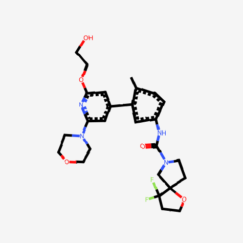 Cc1ccc(NC(=O)N2CCC3(C2)OCCC3(F)F)cc1-c1cc(OCCO)nc(N2CCOCC2)c1